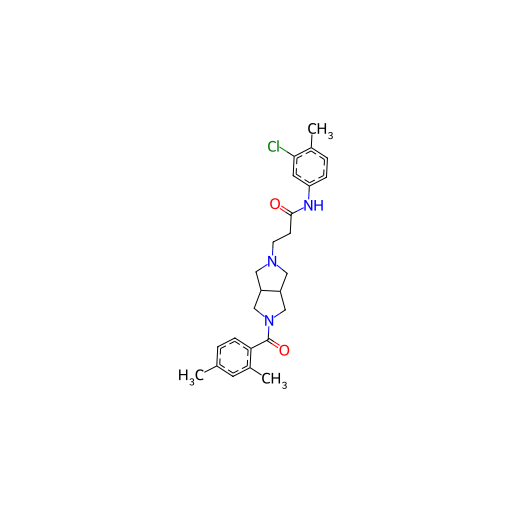 Cc1ccc(C(=O)N2CC3CN(CCC(=O)Nc4ccc(C)c(Cl)c4)CC3C2)c(C)c1